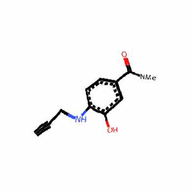 C#CCNc1ccc(C(=O)NC)cc1O